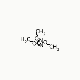 C=CCOc1ncc(OCC=C)c(OCC=C)n1